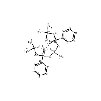 CC(C)(C)OP(=O)(O[Si](C)(C)OP(=O)(OC(C)(C)C)c1ccccc1)c1ccccc1